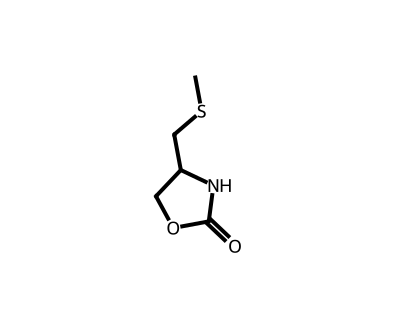 CSCC1COC(=O)N1